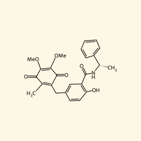 COC1=C(OC)C(=O)C(Cc2ccc(O)c(C(=O)N[C@@H](C)c3ccccc3)c2)=C(C)C1=O